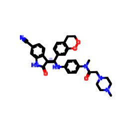 CN1CCN(CC(=O)N(C)c2ccc(N/C(=C3\C(=O)Nc4cc(C#N)ccc43)c3ccc4c(c3)OOCC4)cc2)CC1